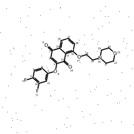 O=C1C=C(Oc2ccc(F)c(F)c2)C(=O)c2c(OCCN3CCOCC3)cccc21